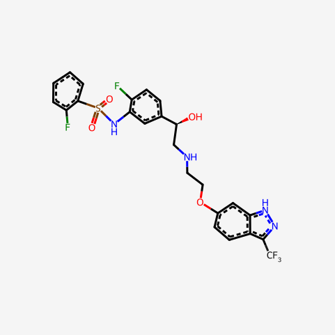 O=S(=O)(Nc1cc([C@@H](O)CNCCOc2ccc3c(C(F)(F)F)n[nH]c3c2)ccc1F)c1ccccc1F